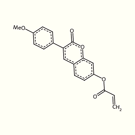 C=CC(=O)Oc1ccc2cc(-c3ccc(OC)cc3)c(=O)oc2c1